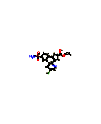 COC(=O)C1CC(c2ccc(S(N)(=O)=O)cc2)=C(c2ccc(F)cn2)C1